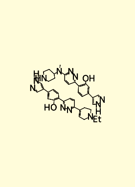 CCN1CC=C(c2ccc(-c3ccc(-c4cn[nH]c4)cc3O)nn2)CC1.CN(c1ccc(-c2ccc(-c3cn[nH]c3)cc2O)nn1)C1CCNCC1